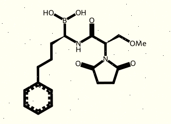 COC[C@H](C(=O)N[C@@H](CCCc1ccccc1)B(O)O)N1C(=O)CCC1=O